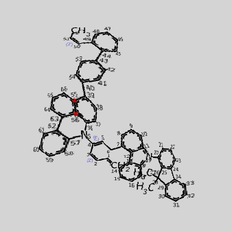 C=C/C=C\C(=C/Cc1cccc2c1c1ccccc1n2-c1cccc2c1C(C)(C)c1ccccc1-2)N(c1ccc(-c2ccc(-c3ccccc3/C=C\C)cc2)cc1)c1ccccc1-c1ccccc1